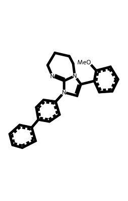 COc1ccccc1C1=CN(c2ccc(-c3ccccc3)cc2)C2=NCCCCN12